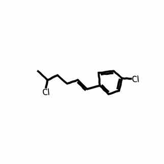 CC(Cl)CCC=Cc1ccc(Cl)cc1